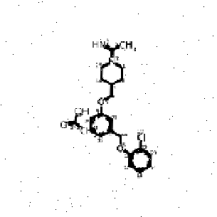 CC(=N)N1CCC(COc2cccc(COc3ccccc3Cl)c2)CC1.CC(=O)O